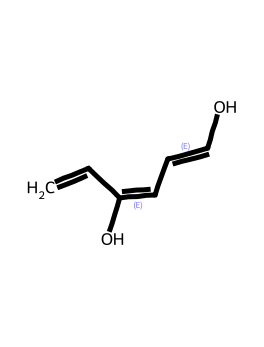 C=C/C(O)=C\C=C\O